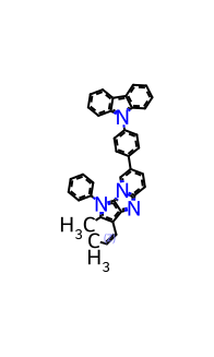 C/C=C\c1c(C)n(-c2ccccc2)c2c1nc1ccc(-c3ccc(-n4c5ccccc5c5ccccc54)cc3)cn12